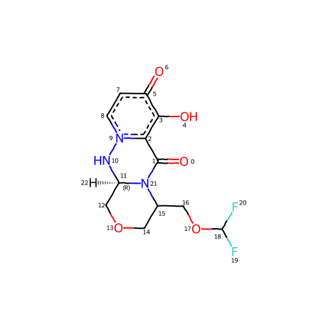 O=C1c2c(O)c(=O)ccn2N[C@@H]2COCC(COC(F)F)N12